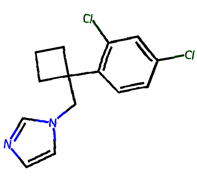 Clc1ccc(C2(Cn3ccnc3)CCC2)c(Cl)c1